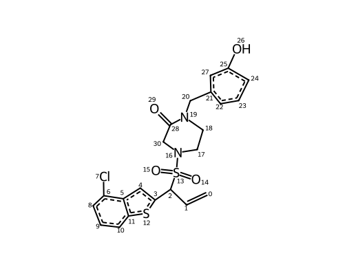 C=CC(c1cc2c(Cl)cccc2s1)S(=O)(=O)N1CCN(Cc2cccc(O)c2)C(=O)C1